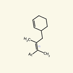 CC(=O)/C(C)=C(\C)CC1C=CCCC1